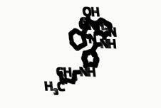 CN(C)CCNc1ccc(C2Nc3nccc(C(=O)O)c3N2C2(C(N)=O)CCCCC2)cc1